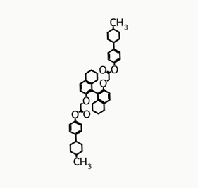 CC1CCC(c2ccc(OC(=O)COc3ccc4c(c3-c3c(OCC(=O)Oc5ccc(C6CCC(C)CC6)cc5)ccc5c3CCCC5)CCCC4)cc2)CC1